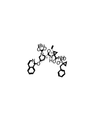 C=C[C@@H]1C[C@]1(NC(=O)[C@@H]1C[C@@H](Oc2nccc3ccccc23)CN1C(=O)OC(C)(C)C)C(=O)NS(=O)(=O)C1(Cc2ccccc2)CC1